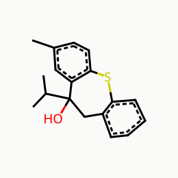 Cc1ccc2c(c1)C(O)(C(C)C)Cc1ccccc1S2